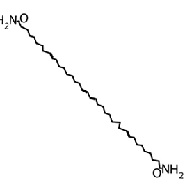 NC(=O)CCCCCCCC=CCCCCCCCC=CC=CCCCCCCCC=CCCCCCCCC(N)=O